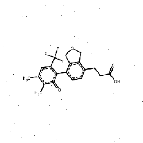 Cc1cc(C(F)(F)F)c(-c2ccc(CCC(=O)O)c3c2COC3)c(=O)n1C